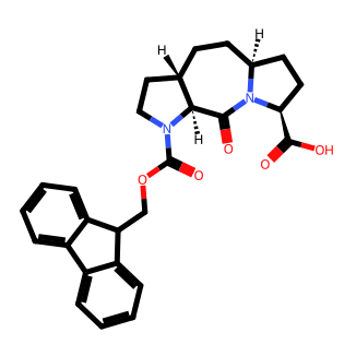 O=C(O)[C@@H]1CC[C@@H]2CC[C@H]3CCN(C(=O)OCC4c5ccccc5-c5ccccc54)[C@@H]3C(=O)N21